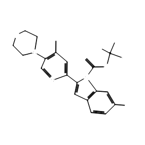 CC(C)(C)OC(=O)n1c(-c2cc(F)c(N3CCOCC3)cn2)cc2ccc(F)cc21